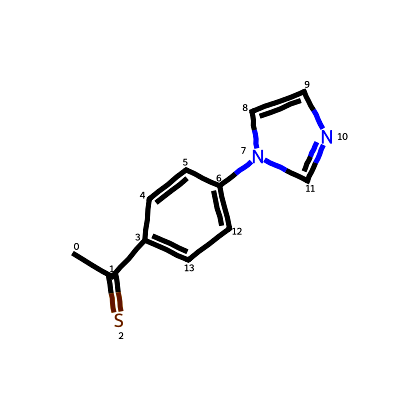 CC(=S)c1ccc(-n2ccnc2)cc1